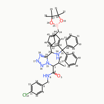 CC(C)C(C(=O)NCc1ccc(Cl)cc1)n1nnnc1C(CCCCB1OC(C)(C)C(C)(C)O1)NC(c1ccccc1)(c1ccccc1)c1ccccc1